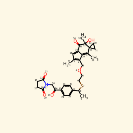 CC1=C(COCCSC(C)c2ccc(C(=O)CN3C(=O)CCC3=O)cc2)C2=C(C)C3(CC3)[C@@](C)(O)C(=O)C2=C1